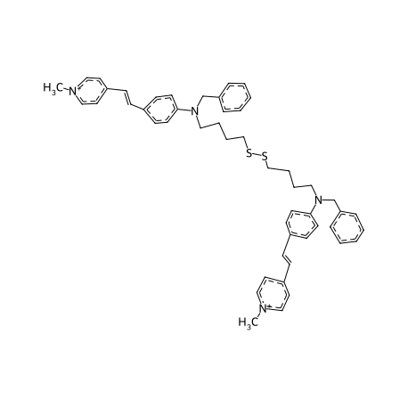 C[n+]1ccc(/C=C/c2ccc(N(CCCCSSCCCCN(Cc3ccccc3)c3ccc(/C=C/c4cc[n+](C)cc4)cc3)Cc3ccccc3)cc2)cc1